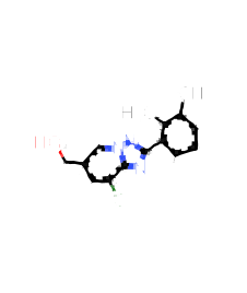 Cc1cccc(-c2nc3c(Cl)cc(CO)cn3n2)c1C